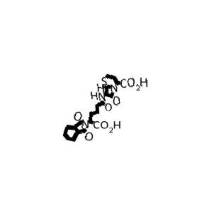 O=C(CCCC(C(=O)O)N1C(=O)c2ccccc2C1=O)N[C@@H]1C(=O)N2C(C(=O)O)=CCS[C@@H]12